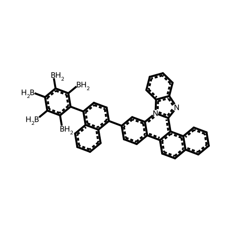 Bc1c(B)c(B)c(-c2ccc(-c3ccc4c5ccc6ccccc6c5c5nc6ccccc6n5c4c3)c3ccccc23)c(B)c1B